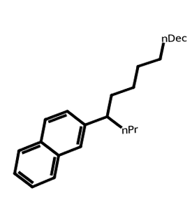 CCCCCCCCCCCCCCC(CCC)c1ccc2ccccc2c1